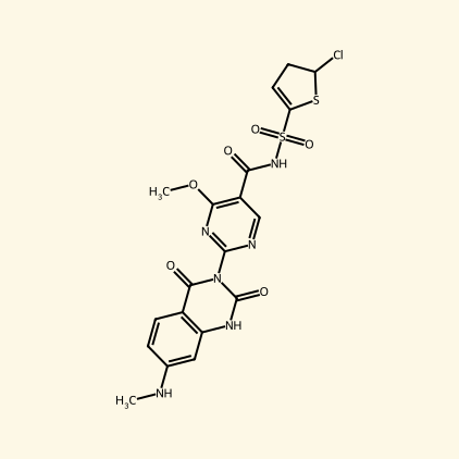 CNc1ccc2c(=O)n(-c3ncc(C(=O)NS(=O)(=O)C4=CCC(Cl)S4)c(OC)n3)c(=O)[nH]c2c1